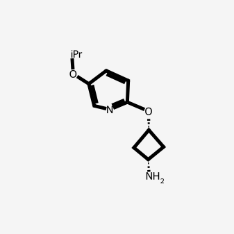 CC(C)Oc1ccc(O[C@H]2C[C@@H](N)C2)nc1